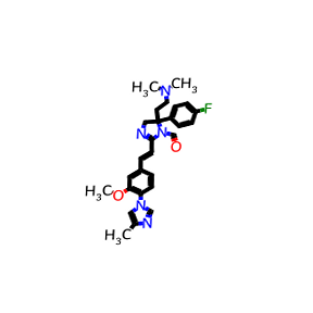 COc1cc(/C=C/C2=NCC(CCN(C)C)(c3ccc(F)cc3)N2C=O)ccc1-n1cnc(C)c1